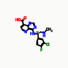 CNC[C@@H](Nc1ncnc2c(C(=O)O)ccnc12)c1ccc(F)c(Cl)c1